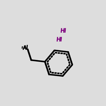 I.I.[Al][CH2]c1ccccc1